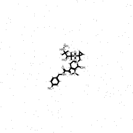 Cn1nc(C(=O)NCc2ccc(C#N)cc2)c2c1C(O)N(CC1(S(=O)(=O)C(C)(C)C(O)C(C)(C)NN)CC1)CC2